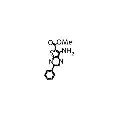 COC(=O)c1sc2nc(-c3ccccc3)cnc2c1N